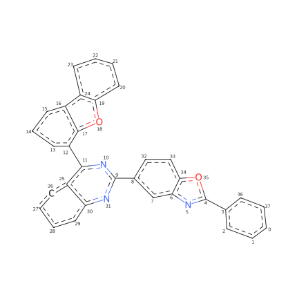 c1ccc(-c2nc3cc(-c4nc(-c5cccc6c5oc5ccccc56)c5ccccc5n4)ccc3o2)cc1